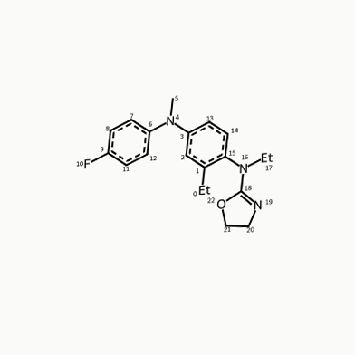 CCc1cc(N(C)c2ccc(F)cc2)ccc1N(CC)C1=NCCO1